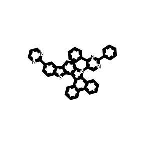 c1ccc(-c2ncc(-n3c4ccc5c6cc(-c7ncccn7)ccc6sc5c4c4c5ccccc5c5ccccc5c43)c(-c3ccccc3)n2)cc1